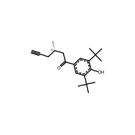 C#CC[C@H](C)CC(=O)c1cc(C(C)(C)C)c(O)c(C(C)(C)C)c1